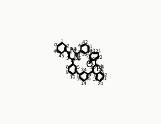 c1ccc(-c2cc(-c3cccc(-c4cccc(-c5c6ccccc6nc6c5oc5ccccc56)c4)c3)nc(-c3ccccc3)n2)cc1